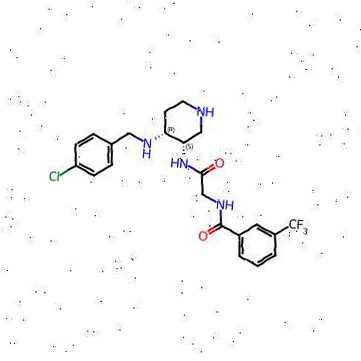 O=C(CNC(=O)c1cccc(C(F)(F)F)c1)N[C@H]1CNCC[C@H]1NCc1ccc(Cl)cc1